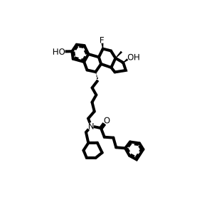 C[C@]12C[C@H](F)C3c4ccc(O)cc4C[C@@H](CCCCCCN(CC4CCCCC4)C(=O)CCCc4ccccc4)C3C1CC[C@@H]2O